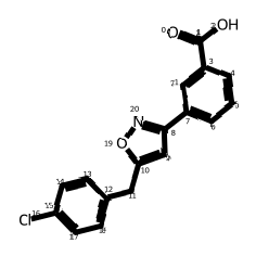 O=C(O)c1cccc(-c2cc(Cc3ccc(Cl)cc3)on2)c1